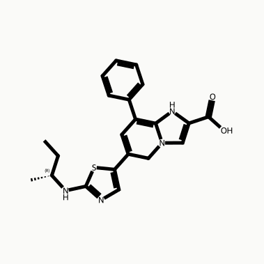 CC[C@@H](C)Nc1ncc(C2=CC(c3ccccc3)=C3NC(C(=O)O)=CN3C2)s1